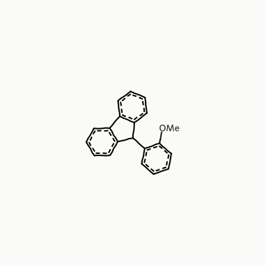 COc1ccccc1C1c2ccccc2-c2ccccc21